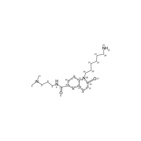 CN(C)CCCNC(=O)c1ccc2c(ccc(=O)n2CCCCCCN)c1